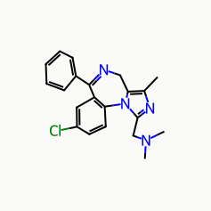 Cc1nc(CN(C)C)n2c1CN=C(c1ccccc1)c1cc(Cl)ccc1-2